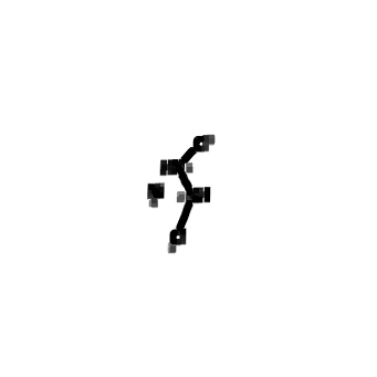 ClNNCl.[Ni]